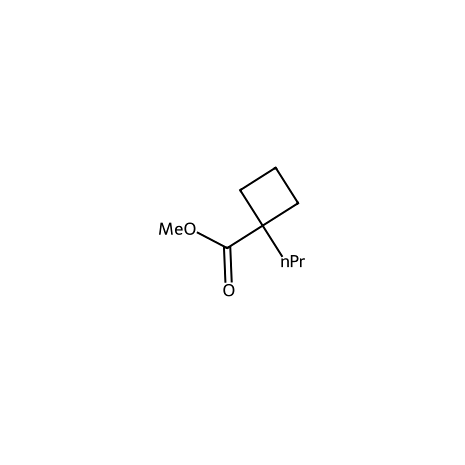 CCCC1(C(=O)OC)CCC1